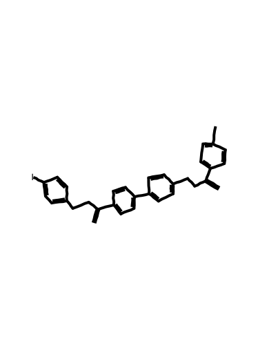 C=C(CCc1ccc(-c2ccc(C(=C)CCc3ccc(I)cc3)cc2)cc1)c1ccc(C)cc1